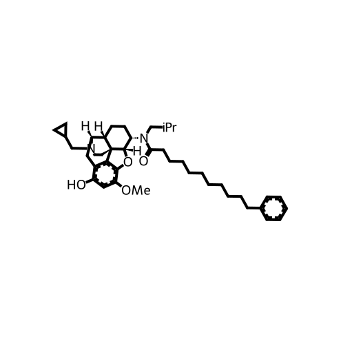 COc1cc(O)c2c3c1O[C@H]1[C@@H](N(CC(C)C)C(=O)CCCCCCCCCCc4ccccc4)CC[C@H]4[C@@H](C2)N(CC2CC2)CC[C@@]341